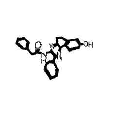 O=C(Cc1ccccc1)Nc1nc2c(nc1-c1ccccc1)-c1ccc(O)cc1CC2